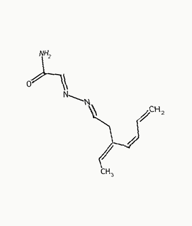 C=C/C=C\C(=C/C)C/C=N/N=C/C(N)=O